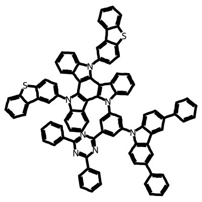 c1ccc(-c2ccc3c(c2)c2cc(-c4ccccc4)ccc2n3-c2cc(-c3nc(-c4ccccc4)nc(-c4ccccc4)n3)cc(-n3c4ccccc4c4c3c3c5ccccc5n(-c5ccc6sc7ccccc7c6c5)c3c3c5ccccc5n(-c5ccc6sc7ccccc7c6c5)c43)c2)cc1